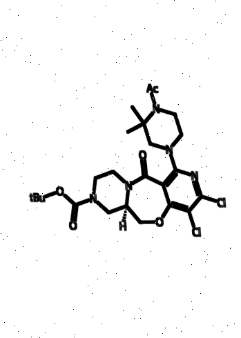 CC(=O)N1CCN(c2nc(Cl)c(Cl)c3c2C(=O)N2CCN(C(=O)OC(C)(C)C)C[C@@H]2CO3)CC1(C)C